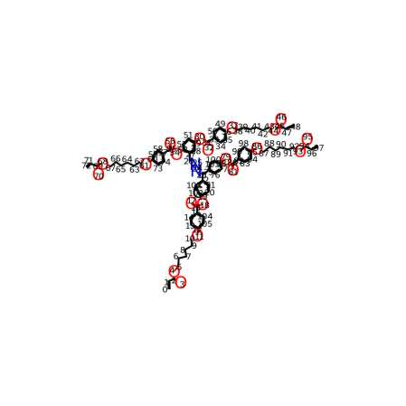 C=CC(=O)OCCCCCCOc1ccc(C(=O)Oc2ccc(C(=N/N=C/c3cc(OC(=O)c4ccc(OCCCCCCOC(=O)C=C)cc4)ccc3OC(=O)c3ccc(OCCCCCCOC(=O)C=C)cc3)c3ccc(OC(=O)c4ccc(OCCCCCCOC(=O)C=C)cc4)cc3)cc2)cc1